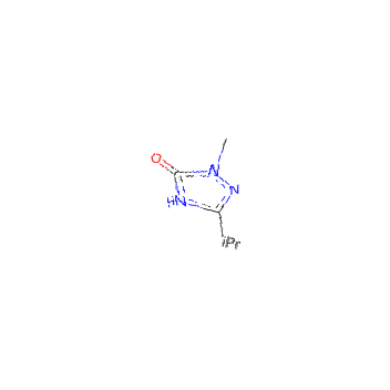 CC(C)c1nn(C)c(=O)[nH]1